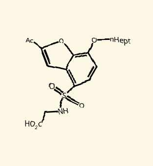 CCCCCCCOc1ccc(S(=O)(=O)NCC(=O)O)c2cc(C(C)=O)oc12